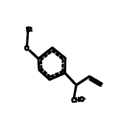 C=CC([C]=O)c1ccc(OCC)cc1